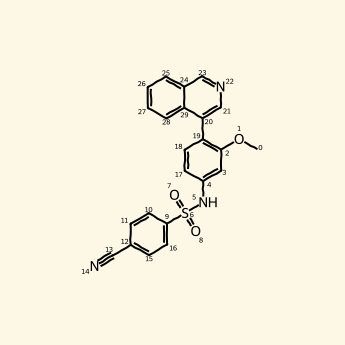 COc1cc(NS(=O)(=O)c2ccc(C#N)cc2)ccc1-c1cncc2ccccc12